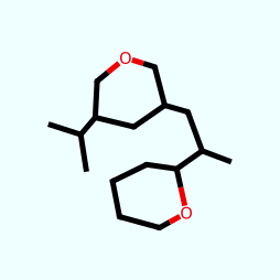 CC(C)C1COCC(CC(C)C2CCCCO2)C1